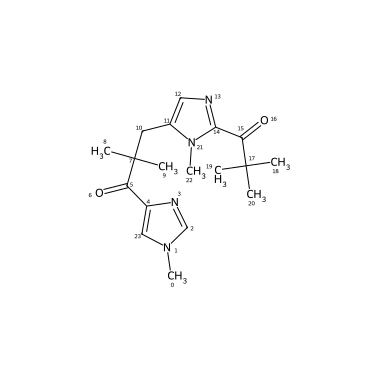 Cn1cnc(C(=O)C(C)(C)Cc2cnc(C(=O)C(C)(C)C)n2C)c1